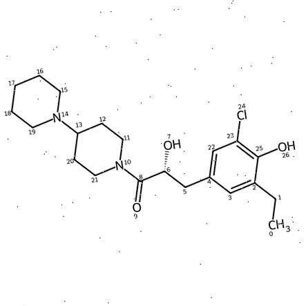 CCc1cc(C[C@@H](O)C(=O)N2CCC(N3CCCCC3)CC2)cc(Cl)c1O